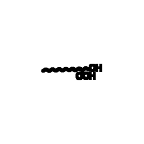 CCCCCCCCCC=CC=C(CCO)C(=O)O